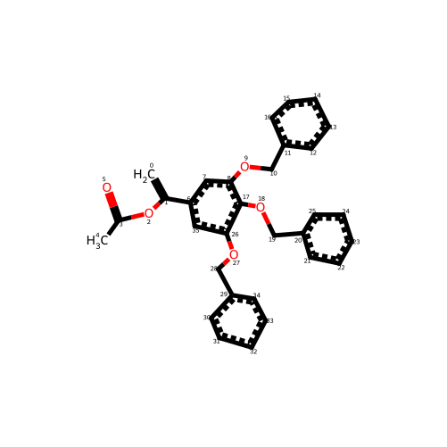 C=C(OC(C)=O)c1cc(OCc2ccccc2)c(OCc2ccccc2)c(OCc2ccccc2)c1